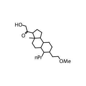 CCCC1C(CCOC)CCC2C1CCC1(C)C(C(=O)CO)CCC21